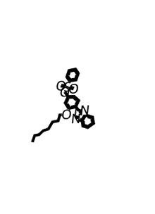 CCCCCCCCOc1cc(OS(=O)(=O)c2ccccc2)ccc1-n1nc2ccccc2n1